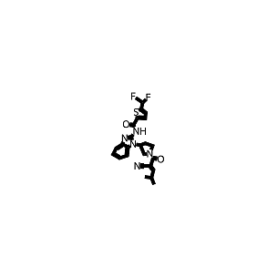 CC(C)C=C(C#N)C(=O)N1CCC(n2c(NC(=O)c3ccc(C(F)F)s3)nc3ccccc32)C1